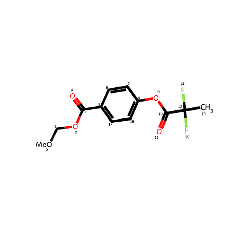 COCOC(=O)c1ccc(OC(=O)C(C)(F)F)cc1